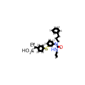 C=CCNC(=O)N(CCCc1ccccc1)c1cccc(Sc2ccc(C(CC)C(=O)O)cc2)c1